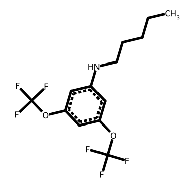 CCCCCNc1cc(OC(F)(F)F)cc(OC(F)(F)F)c1